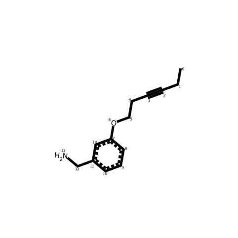 CCC#CCCOc1cccc(CN)c1